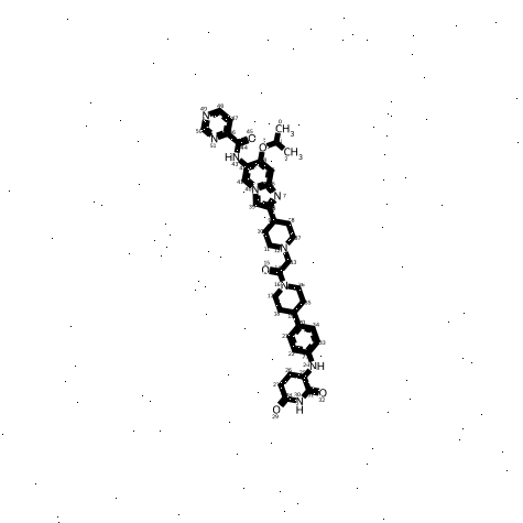 CC(C)Oc1cc2nc(C3CCN(CC(=O)N4CCC(c5ccc(NC6CCC(=O)NC6=O)cc5)CC4)CC3)cn2cc1NC(=O)c1ccncn1